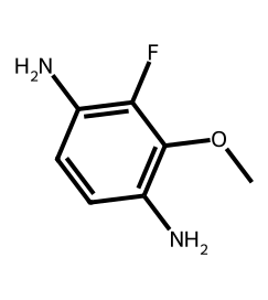 COc1c(N)ccc(N)c1F